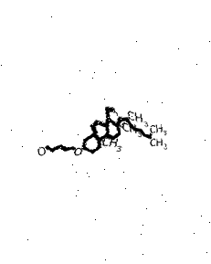 CC(C)CCC[C@@H](C)[C@H]1CCC2C3CC=C4C[C@@H](OC/C=C/CC=O)CC[C@]4(C)C3CC[C@@]21C